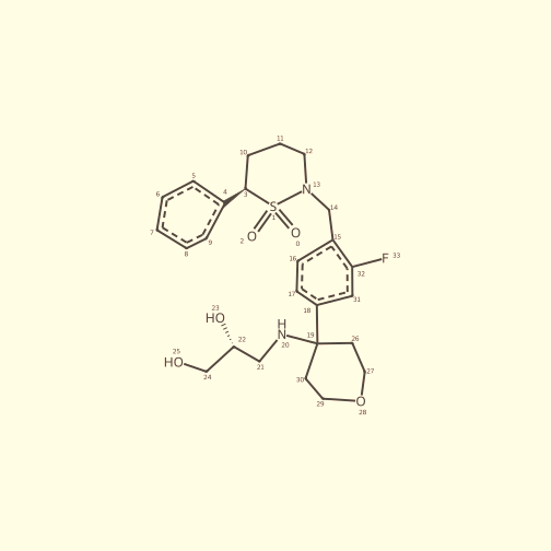 O=S1(=O)[C@@H](c2ccccc2)CCCN1Cc1ccc(C2(NC[C@@H](O)CO)CCOCC2)cc1F